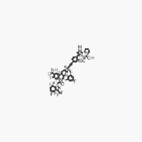 CC(C)(C)OC(O)N1CCC[C@H]1c1nc(-c2ccc(C#Cc3nc4nc([C@H](Cc5cc(F)cc(F)c5)NC(=O)Cn5nc(C(F)F)c6c5C(F)(F)CCC6(F)F)c(-c5ccc(F)c(C(N)=O)c5)cc4s3)cc2)c[nH]1